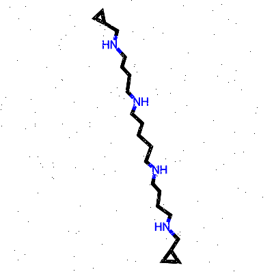 C(CCNCCCCNCC1CC1)CCNCCCCNCC1CC1